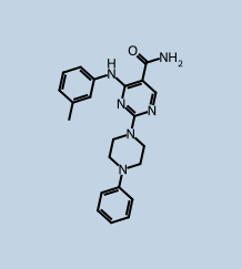 Cc1cccc(Nc2nc(N3CCN(c4ccccc4)CC3)ncc2C(N)=O)c1